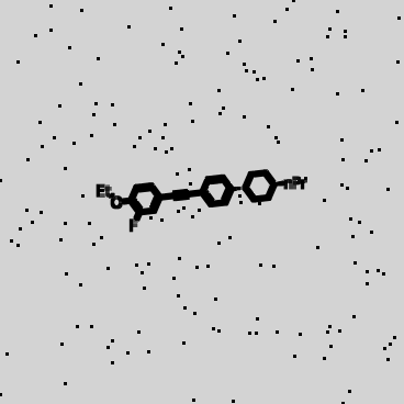 CCC[C@H]1CC[C@H](c2ccc(C#Cc3ccc(OCC)c(F)c3)cc2)CC1